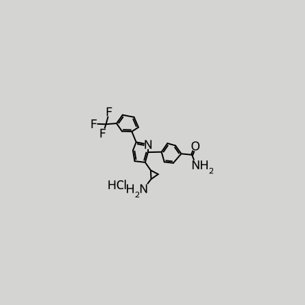 Cl.NC(=O)c1ccc(-c2nc(-c3cccc(C(F)(F)F)c3)ccc2C2CC2N)cc1